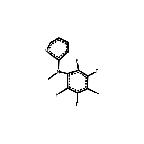 CN(c1ccccn1)c1c(F)c(F)c(F)c(F)c1F